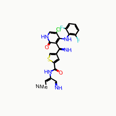 CN/C=C(\C=N)NC(=O)c1cc(C(=N)c2c(Nc3c(F)cccc3F)c(Cl)c[nH]c2=O)cs1